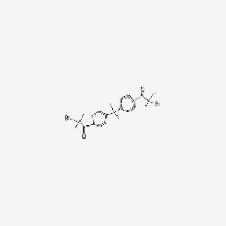 CC(C)(Br)C(=O)c1ccc(C(C)(C)c2ccc(C(=O)C(C)(C)Br)cc2)cc1